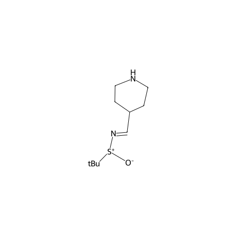 CC(C)(C)[S+]([O-])N=CC1CCNCC1